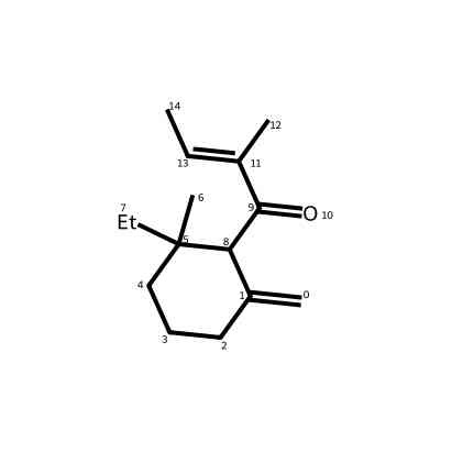 C=C1CCCC(C)(CC)C1C(=O)C(C)=CC